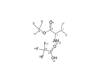 CC(C)C(N)C(=O)OC(C)(C)C.O=C(O)C(F)(F)F